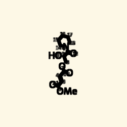 COC(=O)/C=C/C(=O)OC[C@H](O)C(=O)N1CCCCC1